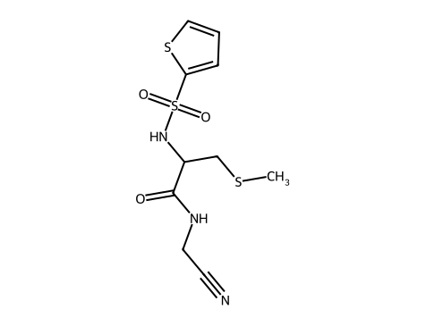 CSCC(NS(=O)(=O)c1cccs1)C(=O)NCC#N